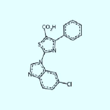 O=C(O)c1sc(-n2cnc3ccc(Cl)cc32)nc1-c1ccccc1